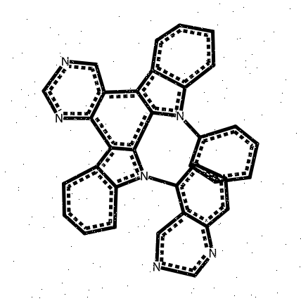 c1ccc(-n2c3ccccc3c3c4cncnc4c4c5ccccc5n(-c5cccc6ncncc56)c4c32)cc1